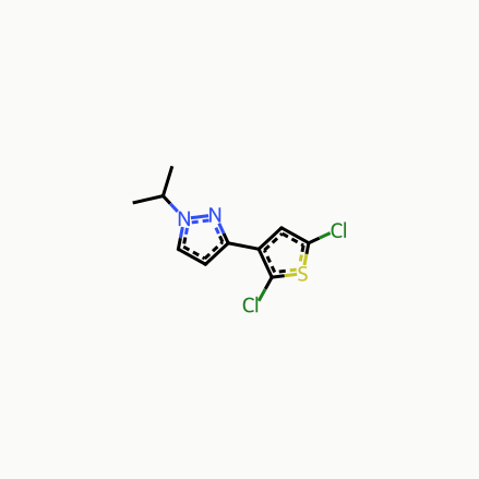 CC(C)n1ccc(-c2cc(Cl)sc2Cl)n1